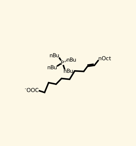 CCCCCCCCC=CCCCCCCCC(=O)[O-].CCCC[P+](CCCC)(CCCC)CCCC